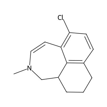 CN1C=Cc2c(Cl)ccc3c2C(CCC3)C1